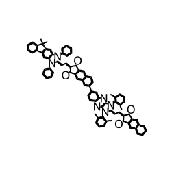 Cc1cccc(C)c1N1/C(=C/C=C2C(=O)c3cc4ccccc4cc3C2=O)N(c2c(C)cccc2C)c2nc3cc(-c4ccc5cc6c(cc5c4)C(=O)/C(=C\C=C4\N(c5ccccc5)c5cc7c(cc5N4c4ccccc4)C(C)(C)c4ccccc4-7)C6=O)ccc3nc21